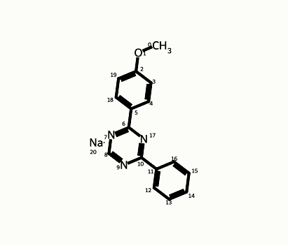 COc1ccc(-c2ncnc(-c3ccccc3)n2)cc1.[Na]